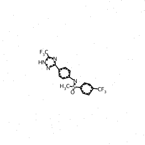 CS(=O)(=Nc1ccc(-c2n[nH]c(C(F)(F)F)n2)cc1)c1ccc(C(F)(F)F)cc1